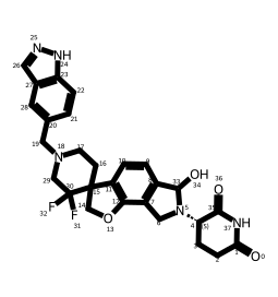 O=C1CC[C@H](N2Cc3c(ccc4c3OCC43CCN(Cc4ccc5[nH]ncc5c4)CC3(F)F)C2O)C(=O)N1